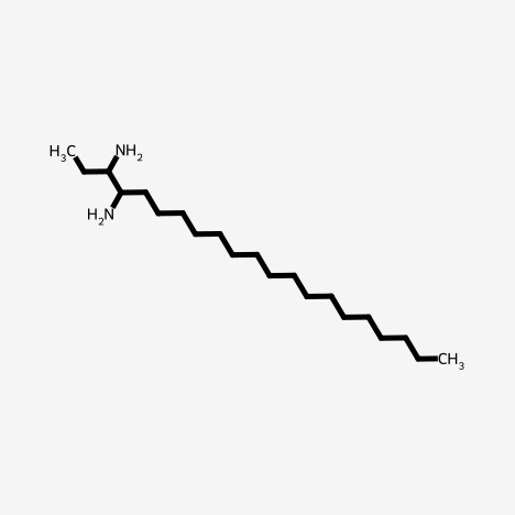 CCCCCCCCCCCCCCCCCC(N)C(N)CC